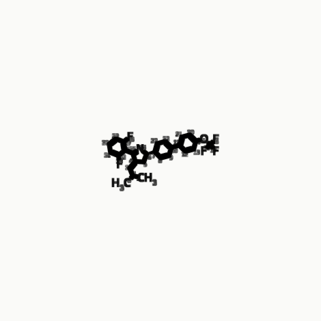 CC(C)C=C1C[C@H](c2ccc(-c3ccc(OC(F)(F)F)cc3)cc2)N=C1c1c(F)cccc1F